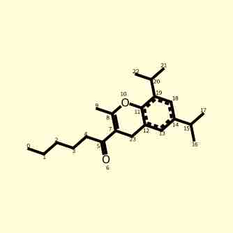 CCCCCC(=O)C1=C(C)Oc2c(cc(C(C)C)cc2C(C)C)C1